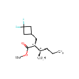 CC(C)(C)OC(=O)[C@@H](CC1CC(F)(F)C1)[C@@H](CCC(F)(F)F)C(=O)O